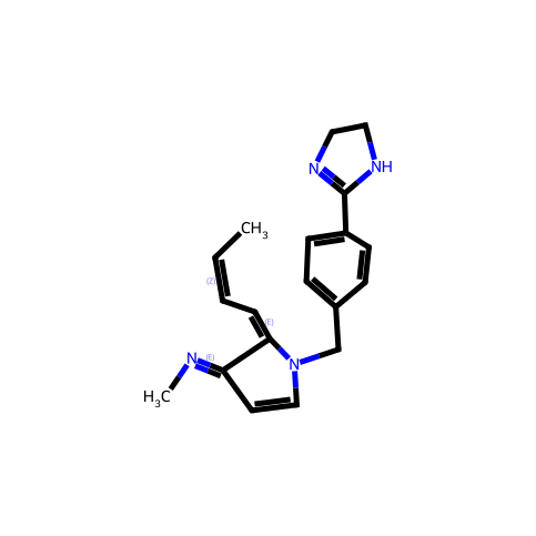 C\C=C/C=C1\C(=N\C)C=CN1Cc1ccc(C2=NCCN2)cc1